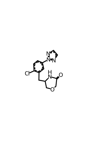 O=C1COCC(Cc2cc(-n3nccn3)ccc2Cl)N1